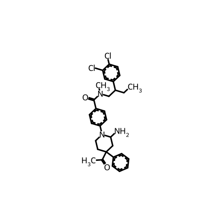 CCC(CN(C)C(=O)c1ccc(N2CCC(C(C)=O)(c3ccccc3)CC2N)cc1)c1ccc(Cl)c(Cl)c1